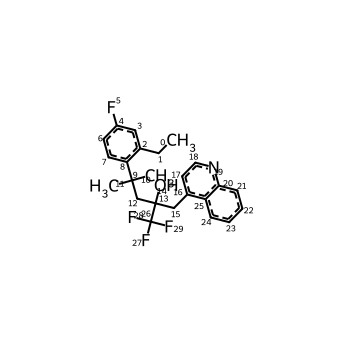 CCc1cc(F)ccc1C(C)(C)CC(O)(Cc1ccnc2ccccc12)C(F)(F)F